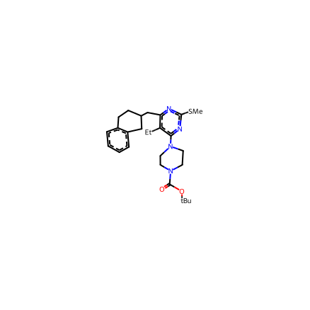 CCc1c(CC2CCc3ccccc3C2)nc(SC)nc1N1CCN(C(=O)OC(C)(C)C)CC1